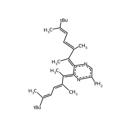 CC(/C(C)=C/C=C(\C)C(C)(C)C)=c1/ncc(P)n/c1=C(C)\C(C)=C\C=C(/C)C(C)(C)C